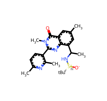 Cc1cc(C(C)N[S@+]([O-])C(C)(C)C)c2nc(-c3ccc(C)nc3C)n(C)c(=O)c2c1